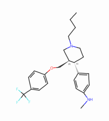 CCCCN1CC[C@H](c2ccc(NC)cc2)[C@@H](COc2ccc(C(F)(F)F)cc2)C1